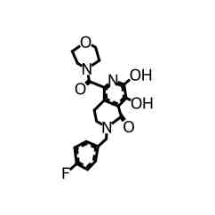 O=C(c1nc(O)c(O)c2c1CCN(Cc1ccc(F)cc1)C2=O)N1CCOCC1